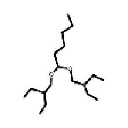 CCCCCC(OCC(CC)CC)OCC(CC)CC